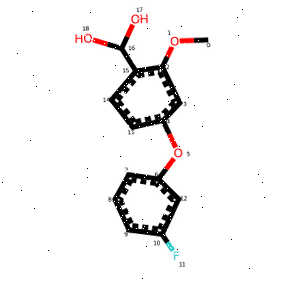 COc1cc(Oc2cccc(F)c2)ccc1C(O)O